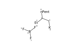 CCCCCC(CC)[CH2][K].FB(F)F